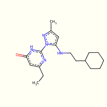 CCc1cc(=O)[nH]c(-n2nc(C)cc2NCCC2CCCCC2)n1